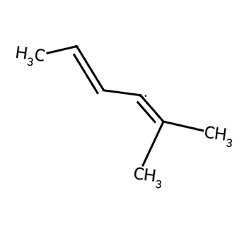 CC=C[C]=C(C)C